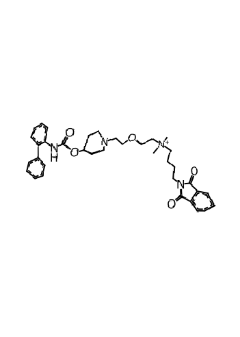 C[N+](C)(CCCCN1C(=O)c2ccccc2C1=O)CCOCCN1CCC(OC(=O)Nc2ccccc2-c2ccccc2)CC1